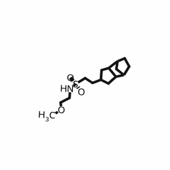 COCCNS(=O)(=O)CCC1CC2C3CCC(C3)C2C1